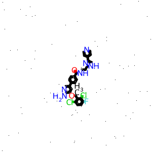 CC(Oc1cc(-c2ccc(C(=O)NCCc3nc(-c4ccncc4)c[nH]3)cc2)cnc1N)c1c(Cl)ccc(F)c1Cl